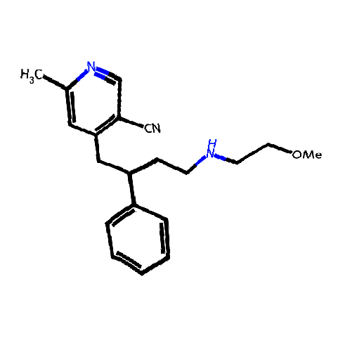 COCCNCCC(Cc1cc(C)ncc1C#N)c1ccccc1